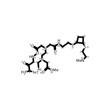 [3H]C(P)C(=O)CNOC(=O)CN(CCN(CC(C)=O)CC(=O)OC)CC(=O)NCCSC1CCC1SCCNC